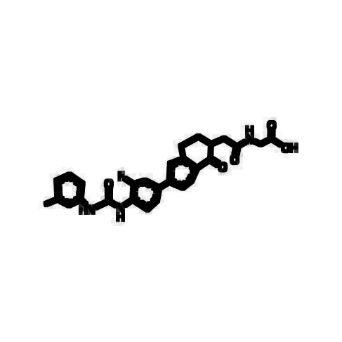 Cc1cccc(NC(=O)Nc2ccc(-c3ccc4c(c3)CCC(CC(=O)NCC(=O)O)C4=O)cc2F)c1